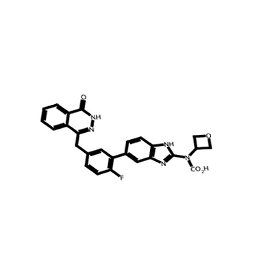 O=C(O)N(c1nc2cc(-c3cc(Cc4n[nH]c(=O)c5ccccc45)ccc3F)ccc2[nH]1)C1COC1